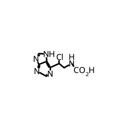 O=C(O)NCC(Cl)c1ncnc2nc[nH]c12